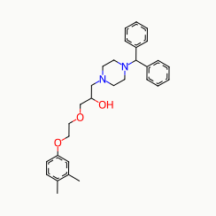 Cc1ccc(OCCOCC(O)CN2CCN(C(c3ccccc3)c3ccccc3)CC2)cc1C